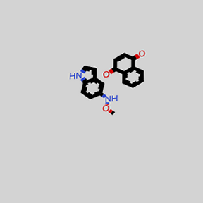 CONc1ccc2[nH]ccc2c1.O=C1C=CC(=O)c2ccccc21